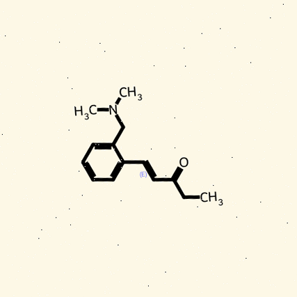 CCC(=O)/C=C/c1ccccc1CN(C)C